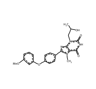 COc1cccc(Oc2ccc(-c3nc4c(c(=O)[nH]c(=O)n4CC(C)O)n3C)cc2)c1